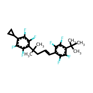 CC(C)(C)c1c(F)c(F)c(/C=C/CC(C)(C)c2c(F)c(F)c(C3CC3)c(F)c2F)c(F)c1F